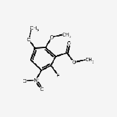 COC(=O)c1c(F)c([N+](=O)[O-])cc(OC)c1OC